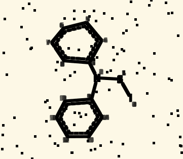 ISN(c1ccccc1)c1ccccc1